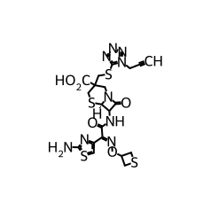 C#CCn1nnnc1SCC1(C(=O)O)CS[C@@H]2C(NC(=O)C(=NOC3CSC3)c3csc(N)n3)C(=O)N2C1